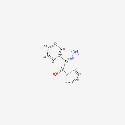 NN=C(C(=O)c1ccccc1)c1ccccc1